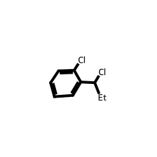 CCC(Cl)c1ccccc1Cl